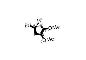 COC1=C(OC)[SeH](C)C(Br)=C1